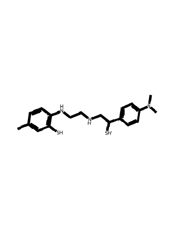 Cc1ccc(NCCNCC(S)c2ccc(N(C)C)cc2)c(S)c1